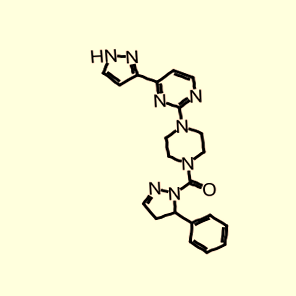 O=C(N1CCN(c2nccc(-c3cc[nH]n3)n2)CC1)N1N=CCC1c1ccccc1